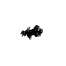 CC(=O)c1nn(CC(=O)N2C[C@H](F)C[C@H]2C(=O)Nc2cccc(Br)n2)c2ccc(C3=NC4CCCCC4S3)cc12